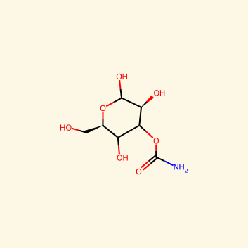 NC(=O)OC1C(O)[C@@H](CO)OC(O)[C@H]1O